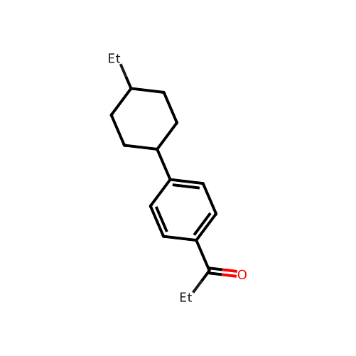 CCC(=O)c1ccc(C2CCC(CC)CC2)cc1